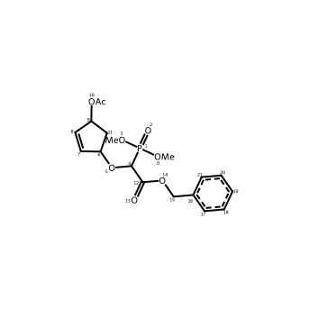 COP(=O)(OC)C(OC1C=CC(OC(C)=O)C1)C(=O)OCc1ccccc1